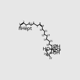 CCCCCCC/C=C\CCCCC/C=C\CCCCCCCCC(O)(C[N+](C)(C)C)P(=O)(O)O